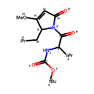 CCCC(NC(=O)OC(C)(C)C)C(=O)N1C(=O)C=C(OC)C1CC(C)C